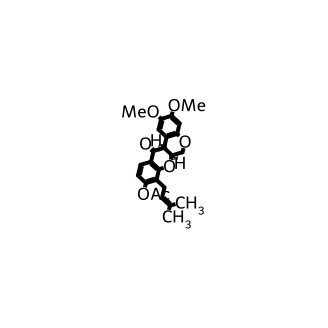 COc1cc2c(cc1OC)[C@@H]1C(=O)c3ccc(OC(C)=O)c(CC=C(C)C)c3O[C@@H]1CO2